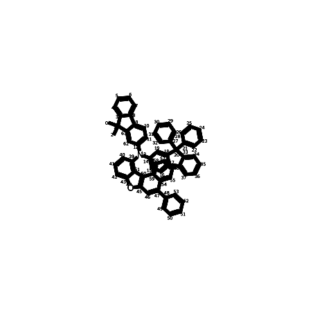 CC1(C)c2ccccc2-c2ccc(N(c3ccc4c(c3)C(c3ccccc3)(c3ccccc3)c3ccccc3-4)c3cccc4oc5cc(-c6ccccc6)c6ccccc6c5c34)cc21